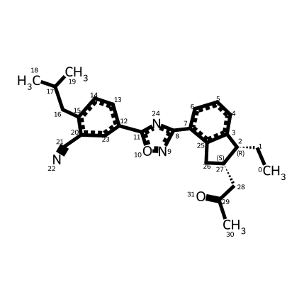 CC[C@H]1c2cccc(-c3noc(-c4ccc(CC(C)C)c(C#N)c4)n3)c2C[C@H]1CC(C)=O